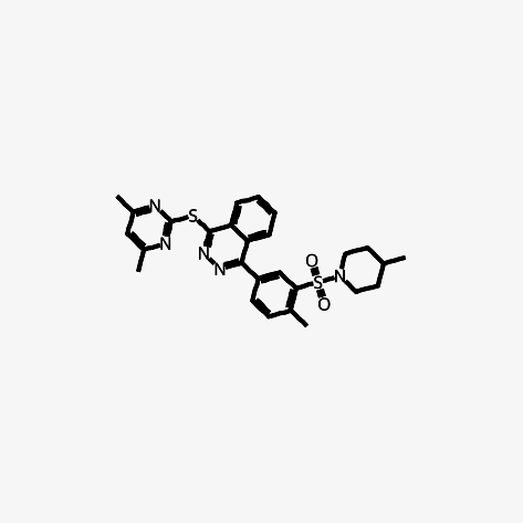 Cc1cc(C)nc(Sc2nnc(-c3ccc(C)c(S(=O)(=O)N4CCC(C)CC4)c3)c3ccccc23)n1